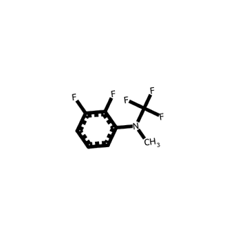 CN(c1cccc(F)c1F)C(F)(F)F